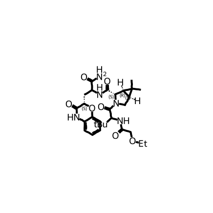 CCOCC(=O)NC(C(=O)N1C[C@H]2[C@@H]([C@H]1C(=O)NC(C[C@@H]1Oc3ccccc3NC1=O)C(N)=O)C2(C)C)C(C)(C)C